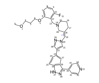 COCCCOc1cccc(F)c1CN1CCC/C(=C/n2cc(-c3ccc4[nH]nc(-c5ccncc5)c4c3)cn2)C1